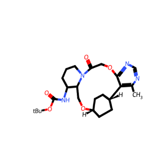 Cc1ncnc2c1[C@H]1CC[C@H](CC1)OCC1C(NC(=O)OC(C)(C)C)CCCN1C(=O)CO2